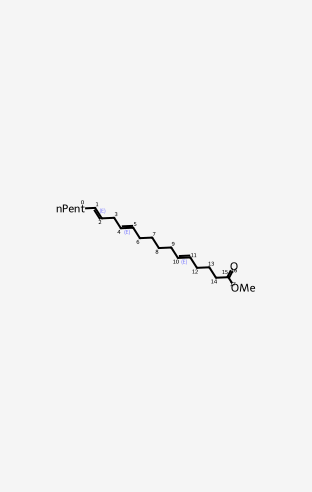 CCCCC/C=C/C/C=C/CCCC/C=C/CCCC(=O)OC